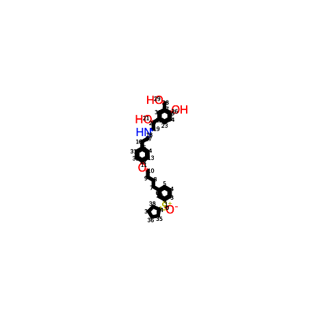 [O-][S+](c1cccc(CCCCOc2ccc(CCNCC(O)c3ccc(O)c(CO)c3)cc2)c1)C1CCCC1